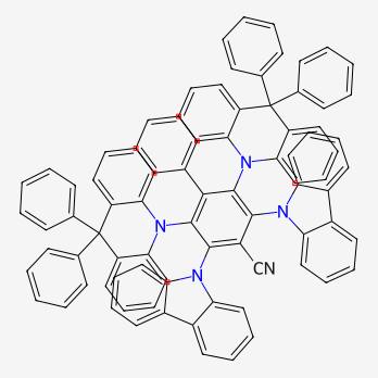 N#Cc1c(-n2c3ccccc3c3ccccc32)c(N2c3ccccc3C(c3ccccc3)(c3ccccc3)c3ccccc32)c(-c2ccccc2)c(N2c3ccccc3C(c3ccccc3)(c3ccccc3)c3ccccc32)c1-n1c2ccccc2c2ccccc21